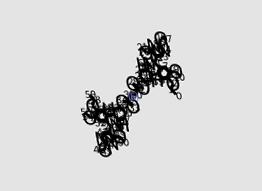 CCOc1cc2c(cc1OC)C(c1cnc(OC)nc1OC)=N[C@@H]1CC[C@@H](OC(=O)/C=C/C(=O)O[C@@H]3CC[C@H]4N=C(c5cnc(OC)nc5OC)c5cc(OC)c(OCC)cc5[C@H]4C3)C[C@H]21